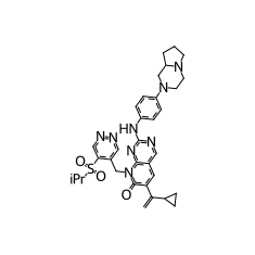 C=C(c1cc2cnc(Nc3ccc(N4CCN5CCCC5C4)cc3)nc2n(Cc2cnncc2S(=O)(=O)C(C)C)c1=O)C1CC1